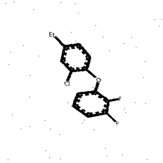 CCc1ccc(Oc2cccc(F)c2F)c(Cl)c1